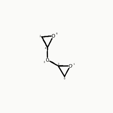 C1OC1OC1CO1